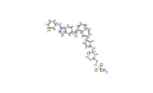 CS(=O)(=O)CCN1CCOC(Cn2ccc(-c3ccc4ncnc(Nc5ccc6c(cnn6Cc6cccc(F)c6)c5)c4c3)c2)C1